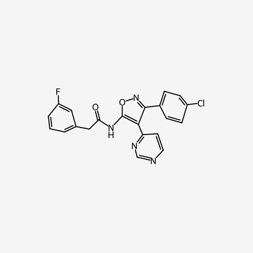 O=C(Cc1cccc(F)c1)Nc1onc(-c2ccc(Cl)cc2)c1-c1ccncn1